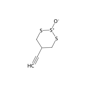 C#CC1CS[S+]([O-])SC1